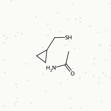 CC(N)=O.SCC1CC1